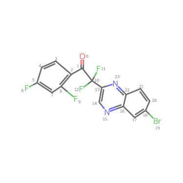 O=C(c1ccc(F)cc1F)C(F)(F)c1cnc2cc(Br)ccc2n1